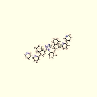 c1ccc(-n2c(-c3ccc(-c4cccc(-c5cccnc5)n4)c4ccccc34)nnc2-c2ccc(-c3cccc(-c4cccnc4)n3)c3ccccc23)cc1